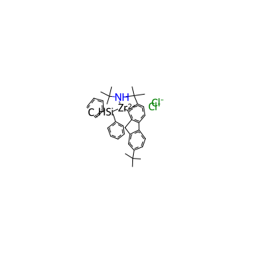 CC(C)(C)[NH][Zr+2]([c]1c(C(C)(C)C)ccc2c1Cc1cc(C(C)(C)C)ccc1-2)[SiH](c1ccccc1)c1ccccc1.[Cl-].[Cl-]